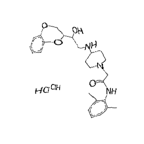 Cc1cccc(C)c1NC(=O)CN1CCC(NCC(O)C2COc3ccccc3O2)CC1.Cl.Cl